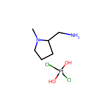 CN1CCCC1CN.[OH][Pt]([OH])([Cl])[Cl]